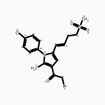 Cc1c(C(=O)CBr)cc(C=CCCS(C)(=O)=O)n1-c1ccc(Cl)cc1